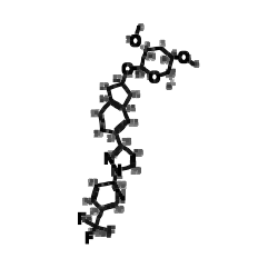 CO[C@@H]1C[C@@H](OC)[C@H](C)O[C@H]1OC1Cc2ccc(-c3ccn(-c4ccc(C(F)(F)F)cn4)n3)cc2C1